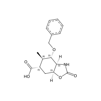 C[C@H]1[C@H](OCc2ccccc2)[C@H]2NC(=O)O[C@H]2C[C@@H]1C(=O)O